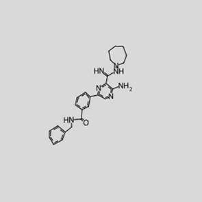 N=C(NN1CCCCCC1)c1nc(-c2cccc(C(=O)NCc3ccccc3)c2)cnc1N